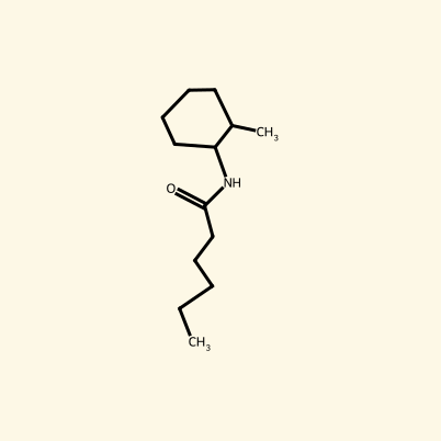 CCCCCC(=O)NC1CCCCC1C